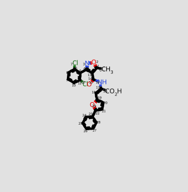 Cc1onc(-c2c(Cl)cccc2Cl)c1C(=O)NC(=Cc1ccc(-c2ccccc2)o1)C(=O)O